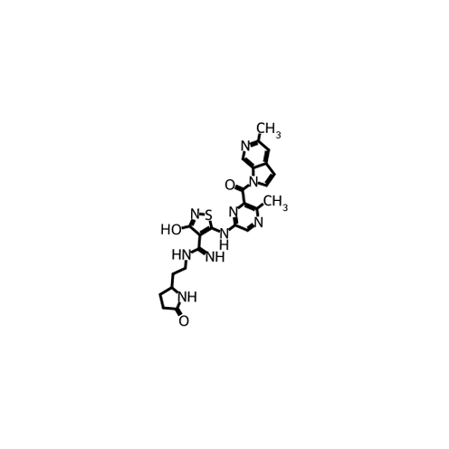 Cc1cc2ccn(C(=O)c3nc(Nc4snc(O)c4C(=N)NCCC4CCC(=O)N4)cnc3C)c2cn1